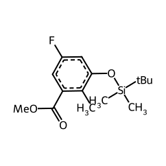 COC(=O)c1cc(F)cc(O[Si](C)(C)C(C)(C)C)c1C